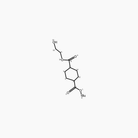 CC(C)(C)OC(=O)C1CCC(C(=O)OCCO)CC1